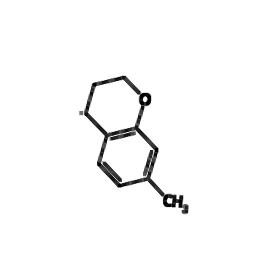 Cc1ccc2c(c1)OCC[CH]2